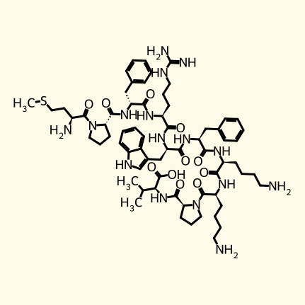 CSCC[C@H](N)C(=O)N1CCC[C@H]1C(=O)N[C@H](Cc1ccccc1)C(=O)N[C@@H](CCCNC(=N)N)C(=O)N[C@H](Cc1c[nH]c2ccccc12)C(=O)N[C@@H](Cc1ccccc1)C(=O)N[C@@H](CCCCN)C(=O)N[C@@H](CCCCN)C(=O)N1CCC[C@H]1C(=O)N[C@H](C(=O)O)C(C)C